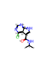 CC(C)NC(=O)c1c[nH]c2ncnc(Cl)c12